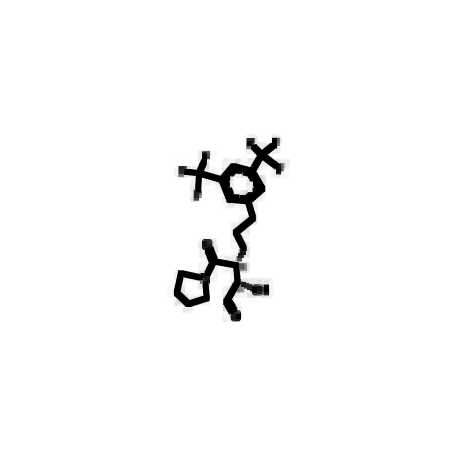 O=C[C@@H](O)[C@@H](CCCc1cc(C(F)(F)F)cc(C(F)(F)F)c1)C(=O)N1CCCC1